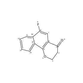 O=C1CCOc2c1cc(F)c1ccccc21